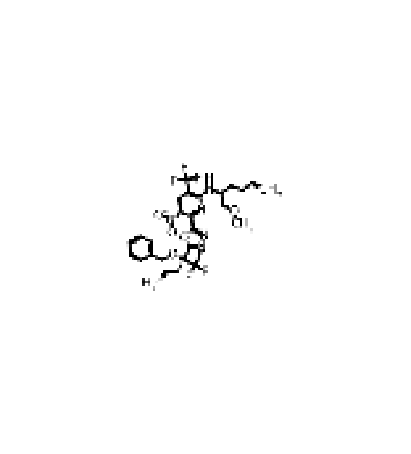 C=CCCC(COC)Nc1nc(-c2nnc([C@@](CC=C)(OCc3ccccc3)C(F)(F)F)o2)c([N+](=O)[O-])cc1C(F)(F)F